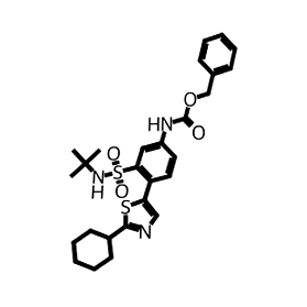 CC(C)(C)NS(=O)(=O)c1cc(NC(=O)OCc2ccccc2)ccc1-c1cnc(C2CCCCC2)s1